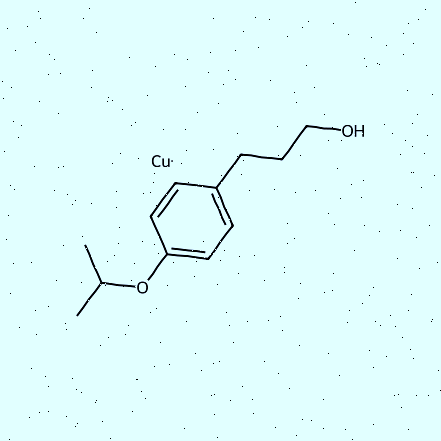 CC(C)Oc1ccc(CCCO)cc1.[Cu]